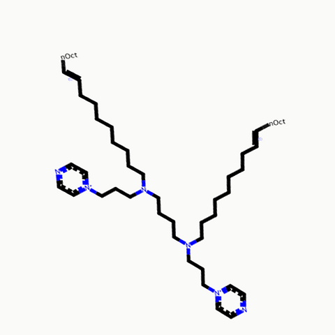 CCCCCCCC/C=C/CCCCCCCCN(CCCCN(CCCCCCCC/C=C/CCCCCCCC)CCC[n+]1ccncc1)CCC[n+]1ccncc1